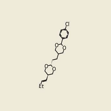 CC/C=C/[C@H]1CO[C@H](CCC2COC(c3ccc(Cl)cc3)OC2)OC1